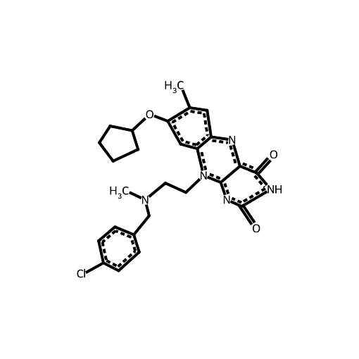 Cc1cc2nc3c(=O)[nH]c(=O)nc-3n(CCN(C)Cc3ccc(Cl)cc3)c2cc1OC1CCCC1